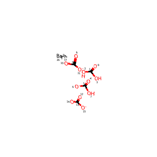 O=C(O)O.O=C([O-])O.O=C([O-])[O-].O=C([O-])[O-].[Ba+2].[Y+3]